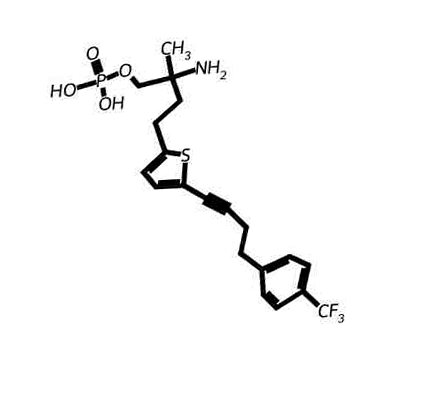 CC(N)(CCc1ccc(C#CCCc2ccc(C(F)(F)F)cc2)s1)COP(=O)(O)O